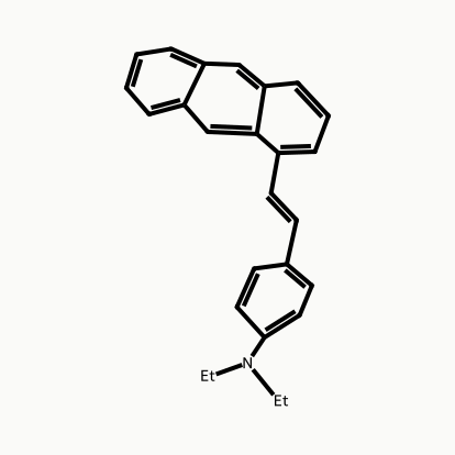 CCN(CC)c1ccc(C=Cc2cccc3cc4ccccc4cc23)cc1